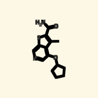 Cc1c(C(N)=O)sc2cncc(OC3CCCC3)c12